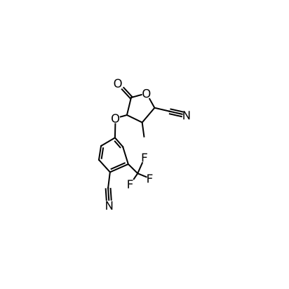 CC1C(C#N)OC(=O)C1Oc1ccc(C#N)c(C(F)(F)F)c1